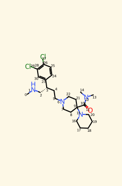 CNC[C@@H](CCN1CCC(C(=O)N(C)C)(N2CCCCC2)CC1)c1ccc(Cl)c(Cl)c1